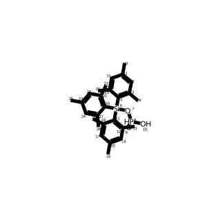 Cc1cc(C)c([Si](O[PH](=O)O)(c2c(C)cc(C)cc2C)c2c(C)cc(C)cc2C)c(C)c1